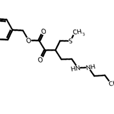 CCCNNCCC(CSC)C(=O)C(=O)OCc1ccccc1